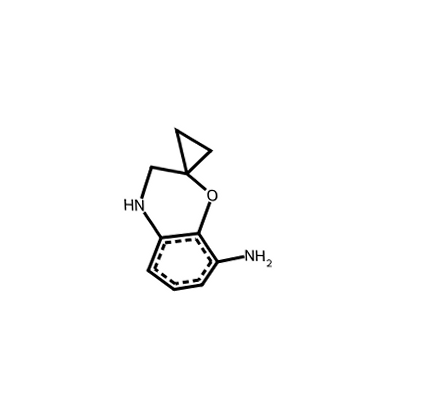 Nc1cccc2c1OC1(CC1)CN2